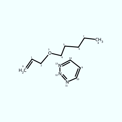 C=CCOCCCCC.c1cnnnc1